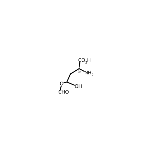 N[C@@H](CC(O)OC=O)C(=O)O